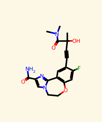 CN(C)C(=O)C(C)(O)C#Cc1cc2c(cc1F)OCCn1cc(C(N)=O)nc1-2